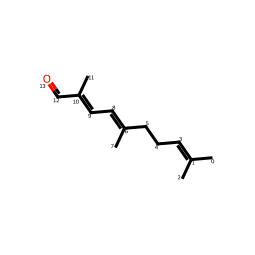 CC(C)=CCC/C(C)=C/C=C(\C)C=O